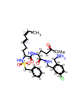 C/C=C\C=C\CCC(NS(=O)(=O)Cc1ccccc1)C(=O)N[C@@H](CCC(=O)OC)C(=O)NCc1cc(Cl)ccc1CN